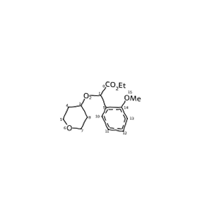 CCOC(=O)C(OC1CCOCC1)c1ccccc1OC